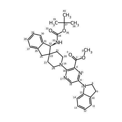 COC(=O)c1nc(N2CCc3ccccc32)cnc1N1CCC2(CC1)Cc1ccccc1[C@H]2NC(=O)OC(C)(C)C